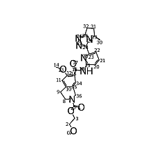 COCCOC(=O)N1CCc2cc(OC)c(C(=O)Nc3cccc(-c4nnc5n4[C@H](C)CC5)n3)cc2C1